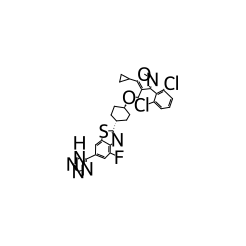 Fc1cc(-c2nnn[nH]2)cc2sc([C@H]3CC[C@H](OCc4c(-c5c(Cl)cccc5Cl)noc4C4CC4)CC3)nc12